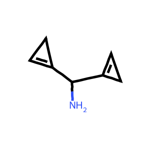 NC(C1=CC1)C1=CC1